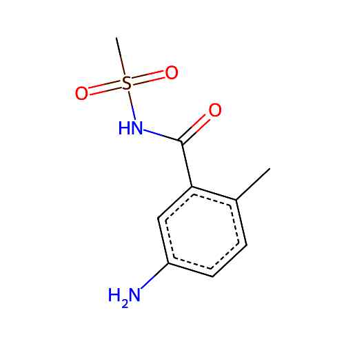 Cc1ccc(N)cc1C(=O)NS(C)(=O)=O